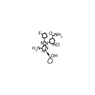 Cl.NC(=O)c1cccc(-n2c(-c3cccc(F)c3)nc3c(N)nc(C#CC4(O)CCCCC4)nc32)c1